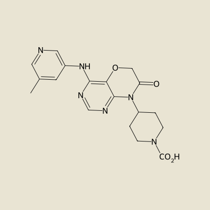 Cc1cncc(Nc2ncnc3c2OCC(=O)N3C2CCN(C(=O)O)CC2)c1